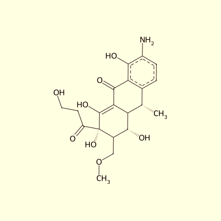 COCC1[C@@H](O)C2C(=C(O)[C@]1(O)C(=O)CCO)C(=O)c1c(ccc(N)c1O)[C@@H]2C